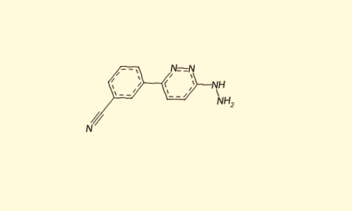 N#Cc1cccc(-c2ccc(NN)nn2)c1